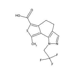 Cc1sc(C(=O)O)c2c1-c1c(cnn1CC(F)(F)F)CC2